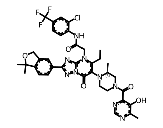 CCc1c(N2CCN(C(=O)c3ncnc(C)c3O)C[C@@H]2C)c(=O)n2nc(-c3ccc4c(c3)COC4(C)C)nc2n1CC(=O)Nc1ccc(C(F)(F)F)cc1Cl